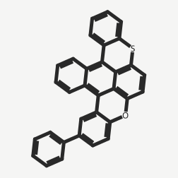 c1ccc(-c2ccc3c(c2)-c2c4ccccc4c4c5c(ccc(c25)O3)Sc2ccccc2-4)cc1